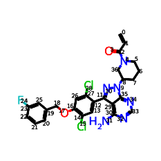 C=CC(=O)N1CCCC(n2nc(-c3cc(Cl)c(OCc4cccc(F)c4)cc3Cl)c3c(N)ncnc32)C1